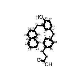 O=C(O)CCc1ccc(Cc2ccc(O)c(Cc3ccc4ccccc4c3)c2)cc1